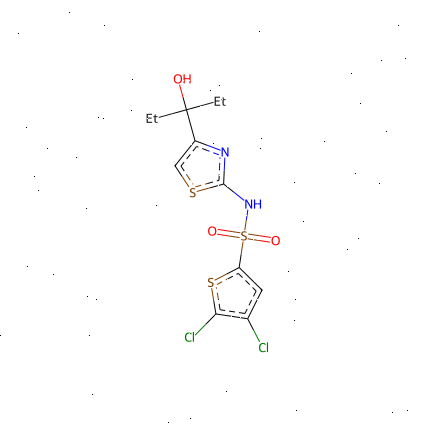 CCC(O)(CC)c1csc(NS(=O)(=O)c2cc(Cl)c(Cl)s2)n1